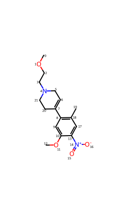 COCCN1CC=C(c2cc(OC)c([N+](=O)[O-])cc2C)CC1